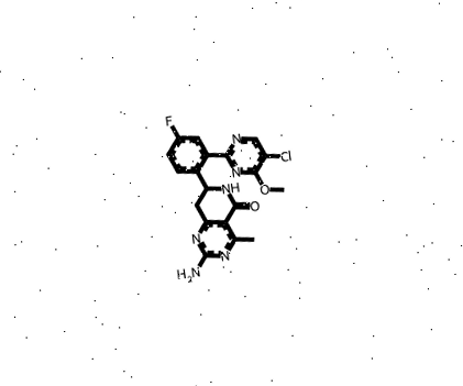 COc1nc(-c2cc(F)ccc2C2Cc3nc(N)nc(C)c3C(=O)N2)ncc1Cl